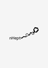 CCCCCCCCCCOCCOc1ccccc1